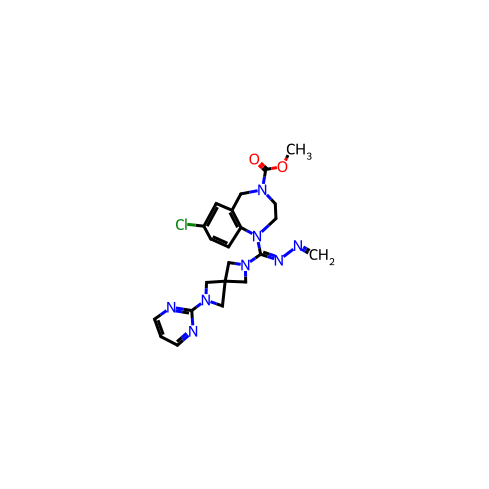 C=N/N=C(/N1CC2(C1)CN(c1ncccn1)C2)N1CCN(C(=O)OC)Cc2cc(Cl)ccc21